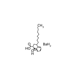 CCCCCCCCCC(CC(C(=O)O)C(=O)O)c1ccccc1.[BaH2]